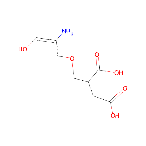 N/C(=C/O)COCC(CC(=O)O)C(=O)O